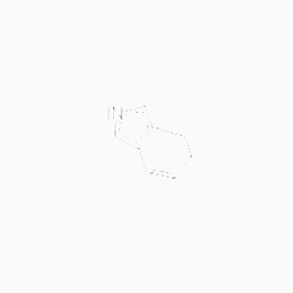 [c]1[nH]cc2c1C=CCC2